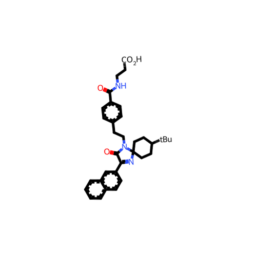 CC(C)(C)C1CCC2(CC1)N=C(c1ccc3ccccc3c1)C(=O)N2CCc1ccc(C(=O)NCCC(=O)O)cc1